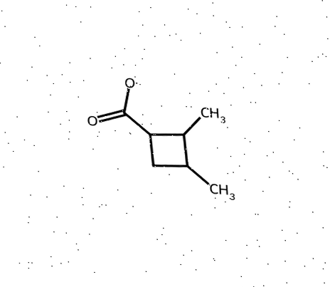 CC1CC(C([O])=O)C1C